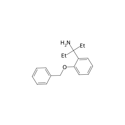 CCC(N)(CC)c1ccccc1OCc1ccccc1